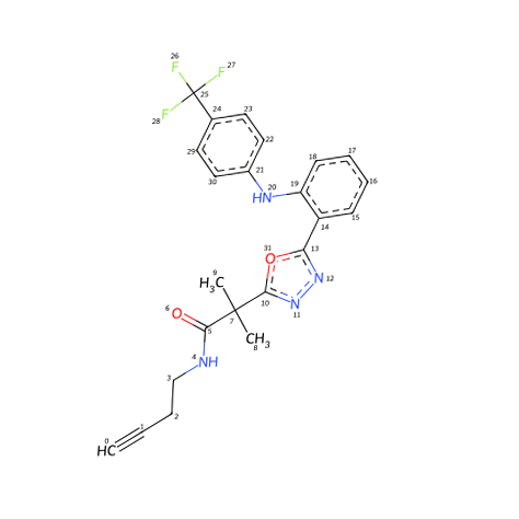 C#CCCNC(=O)C(C)(C)c1nnc(-c2ccccc2Nc2ccc(C(F)(F)F)cc2)o1